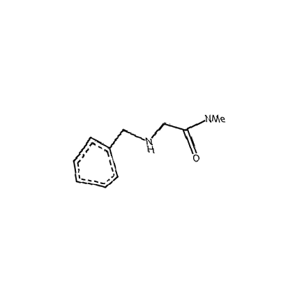 CNC(=O)CNCc1ccccc1